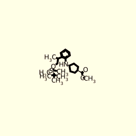 COC(=O)[C@H]1CC[C@H](Nc2ccccc2C(C)CO[Si](C)(C)C(C)(C)C)CC1